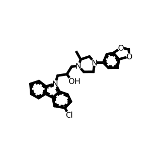 CC1CN(c2ccc3c(c2)OCO3)CCN1CC(O)Cn1c2ccccc2c2cc(Cl)ccc21